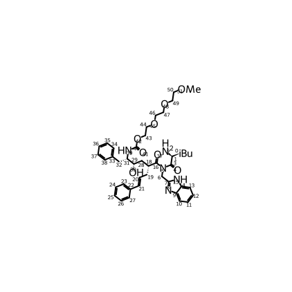 CC[C@H](C)[C@H](N)C(=O)N(Cc1nc2ccccc2[nH]1)C(=O)[C@H](CC=Cc1ccccc1)C[C@H](O)[C@H](Cc1ccccc1)NC(=O)OCCOCCOCCOC